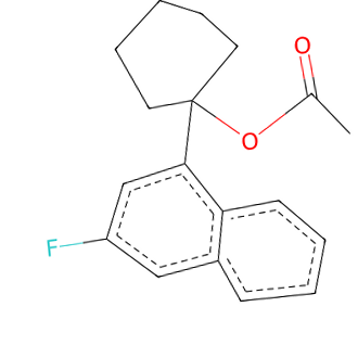 CC(=O)OC1(c2cc(F)cc3ccccc23)CCCCC1